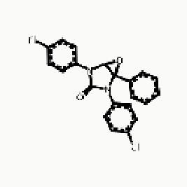 O=C1N(c2ccc(Cl)cc2)C2OC2(c2ccccc2)N1c1ccc(Cl)cc1